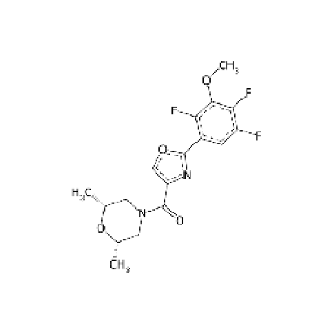 COc1c(F)c(F)cc(-c2nc(C(=O)N3C[C@@H](C)O[C@@H](C)C3)co2)c1F